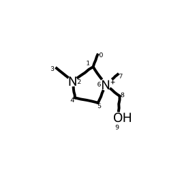 CC1N(C)CC[N+]1(C)CO